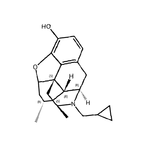 C[C@@H]1[C@H]2[C@H]3Cc4ccc(O)c5c4[C@@]2(CCN3CC2CC2)C(C[C@H]1C)O5